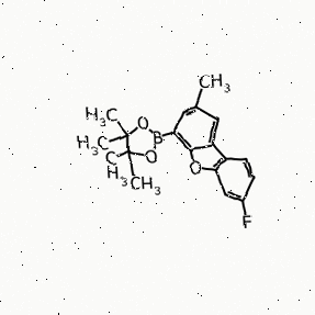 Cc1cc(B2OC(C)(C)C(C)(C)O2)c2oc3cc(F)ccc3c2c1